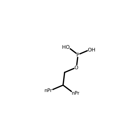 CCCC(CCC)COP(O)O